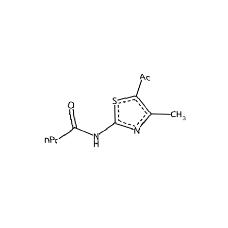 CCCC(=O)Nc1nc(C)c(C(C)=O)s1